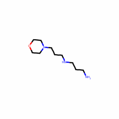 NCCCNCCCN1CCOCC1